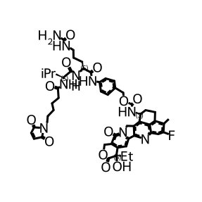 CC[C@@]1(O)C(=O)OCc2c1cc1n(c2=O)Cc2c-1nc1cc(F)c(C)c3c1c2[C@@H](NC(=O)OCc1ccc(NC(=O)[C@H](CCCNC(N)=O)NC(=O)[C@@H](NC(=O)CCCCCN2C(=O)C=CC2=O)C(C)C)cc1)CC3